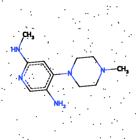 CNc1cc(N2CCN(C)CC2)c(N)cn1